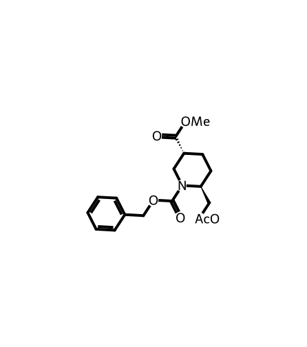 COC(=O)[C@@H]1CC[C@@H](COC(C)=O)N(C(=O)OCc2ccccc2)C1